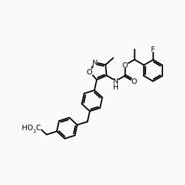 Cc1noc(-c2ccc(Cc3ccc(CC(=O)O)cc3)cc2)c1NC(=O)OC(C)c1ccccc1F